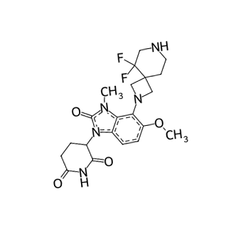 COc1ccc2c(c1N1CC3(CCNCC3(F)F)C1)n(C)c(=O)n2C1CCC(=O)NC1=O